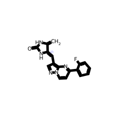 C=c1[nH]c(=O)[nH]/c1=C\c1cnn2ccc(-c3ccccc3F)nc12